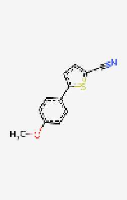 COc1ccc(-c2ccc(C#N)s2)cc1